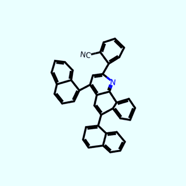 N#Cc1ccccc1-c1cc(-c2cccc3ccccc23)c2cc(-c3cccc4ccccc34)c3ccccc3c2n1